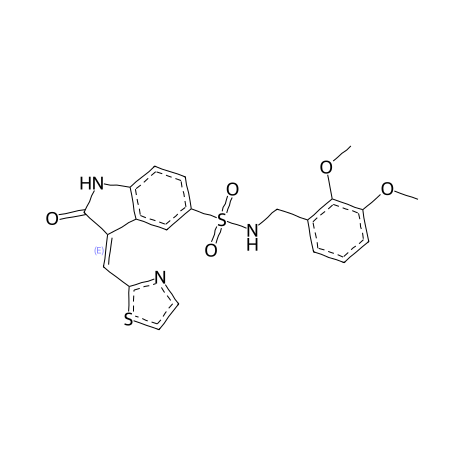 COc1cccc(CNS(=O)(=O)c2ccc3c(c2)/C(=C\c2nccs2)C(=O)N3)c1OC